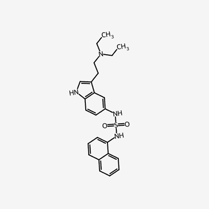 CCN(CC)CCc1c[nH]c2ccc(NS(=O)(=O)Nc3cccc4ccccc34)cc12